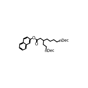 CCCCCCCCCCCCCCC(CCCCCCCCCCCC)CC(=O)Oc1ccc2ccccc2c1